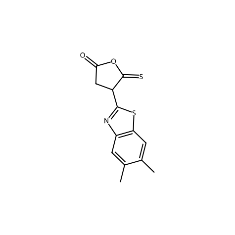 Cc1cc2nc(C3CC(=O)OC3=S)sc2cc1C